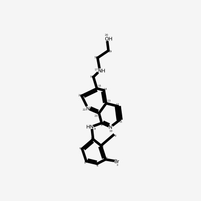 Cc1c(Br)cccc1Nc1nc#cc2cc(CNCCO)cnc12